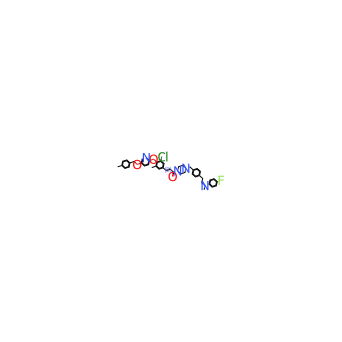 Cc1ccc(COc2ccc(Oc3c(C)cc(/C=C/C(=O)N4CCN(Cc5ccc(CCN(C)c6ccc(F)cc6)cc5)CC4)cc3Cl)nc2)cc1